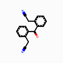 N#CCc1ccccc1C(=O)c1ccccc1CC#N